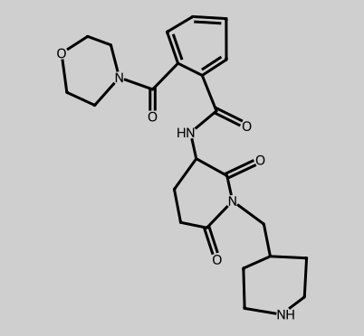 O=C(NC1CCC(=O)N(CC2CCNCC2)C1=O)c1ccccc1C(=O)N1CCOCC1